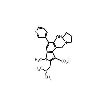 CN(C)Cc1c(C(=O)O)c2c(CN3CCCC3)c(O)c(-c3cccnc3)cc2n1C